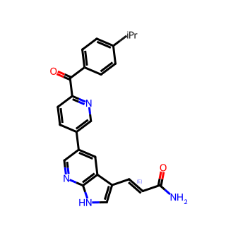 CC(C)c1ccc(C(=O)c2ccc(-c3cnc4[nH]cc(/C=C/C(N)=O)c4c3)cn2)cc1